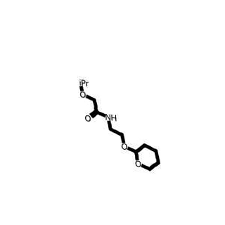 CC(C)OCC(=O)NCCOC1CCCCO1